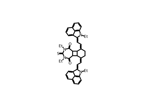 CCN1C(=O)C2C(C(=O)N(CC)C1=S)C1/C(=C\C=c3\c4cccc5cccc(c54)n3CC)CC/C(=C/C=c3/c4cccc5cccc(c54)n3CC)C21